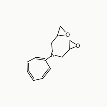 C1=CC=CC(N(CC2CO2)CC2CO2)=CC=1